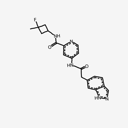 CC1(F)CC(NC(=O)c2cc(NC(=O)Cc3ccc4cn[nH]c4c3)ccn2)C1